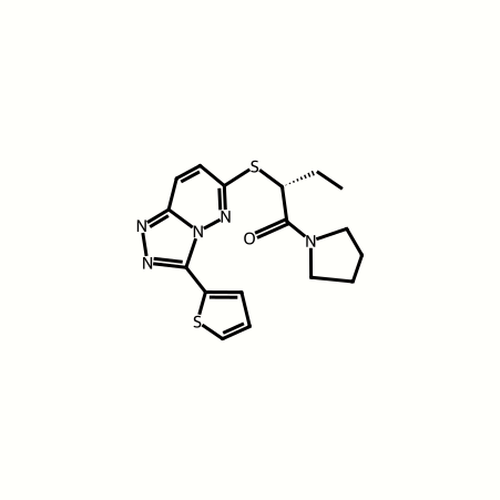 CC[C@@H](Sc1ccc2nnc(-c3cccs3)n2n1)C(=O)N1CCCC1